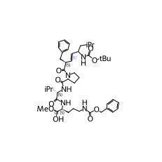 CO[C@H](O)[C@H](CCCNC(=O)OCc1ccccc1)NC(=O)[C@@H](NC(=O)C1CCCN1C(=O)[C@H](/C=C/C(CC(C)C)NC(=O)OC(C)(C)C)Cc1ccccc1)C(C)C